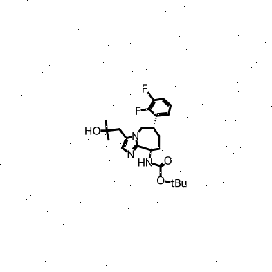 CC(C)(O)Cc1cnc2n1C[C@H](c1cccc(F)c1F)CC[C@H]2NC(=O)OC(C)(C)C